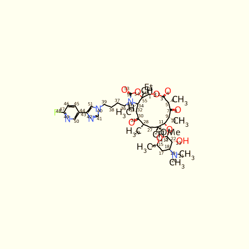 CC[C@H]1OC(=O)[C@H](C)C(=O)[C@H](C)[C@@H](O[C@@H]2O[C@H](C)C[C@H](N(C)C)[C@H]2O)[C@@](C)(OC)C[C@@H](C)C(=O)[C@H](C)[C@H]2N(CCCCn3cnc(-c4ccc(F)nc4)c3)C(=O)O[C@]12C